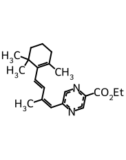 CCOC(=O)c1cnc(C=C(C)C=CC2=C(C)CCCC2(C)C)cn1